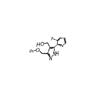 CC(C)OCc1n[nH]c(-c2ncccc2F)c1CO